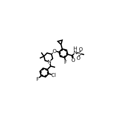 CC(c1ccc(F)cc1Cl)N1C[C@H](Oc2cc(F)c(C(=O)NS(C)(=O)=O)cc2C2CC2)CC(C)(C)C1